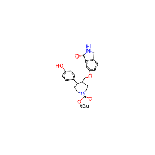 CC(C)(C)OC(=O)N1CC[C@H](COc2ccc3c(c2)C(=O)NC3)[C@H](c2ccc(O)cc2)CC1